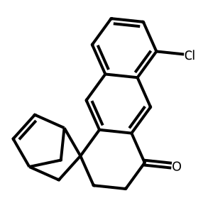 O=C1CCC2(CC3C=CC2C3)c2cc3cccc(Cl)c3cc21